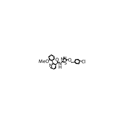 COc1ccccc1-c1ncccc1C(=O)Nc1nnc(OCc2ccc(Cl)cc2)s1